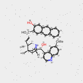 C=C[C@H]1C[N@]2CC[C@H]1C[C@H]2[C@H](O)c1ccnc2ccc(OC)cc12.O=C(O)c1cc2cc3ccccc3cc2cc1O